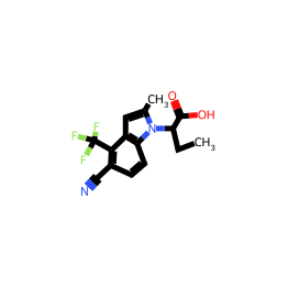 CCC(C(=O)O)n1c(C)cc2c(C(F)(F)F)c(C#N)ccc21